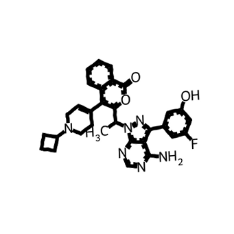 CC(c1oc(=O)c2ccccc2c1C1=CCN(C2CCC2)CC1)n1nc(-c2cc(O)cc(F)c2)c2c(N)ncnc21